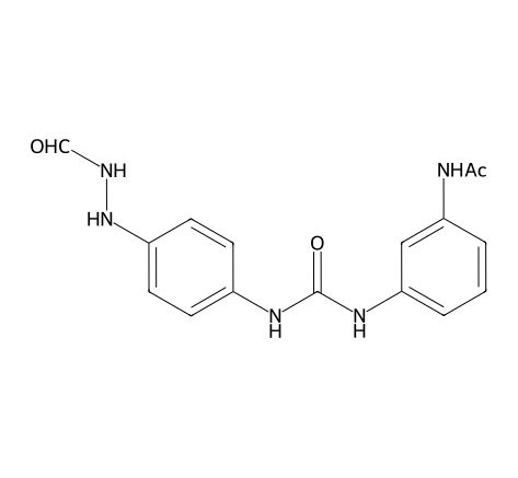 CC(=O)Nc1cccc(NC(=O)Nc2ccc(NNC=O)cc2)c1